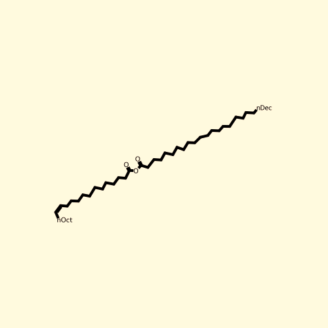 CCCCCCCC/C=C\CCCCCCCCCCCC(=O)OC(=O)CCCCCCCCCCCCCCCCCCCCCCCCCCCCC